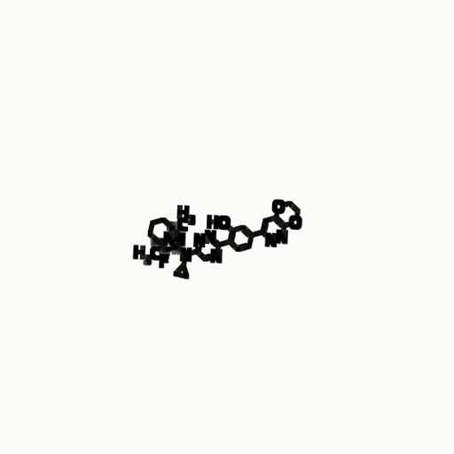 C[C@@]12CCC[C@@](C)(N1)[C@@H](F)[C@@H](N(c1cnc(-c3ccc(-c4cc5c(nn4)OCCO5)cc3O)nn1)C1CC1)C2